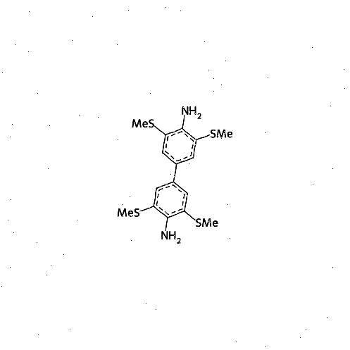 CSc1cc(-c2cc(SC)c(N)c(SC)c2)cc(SC)c1N